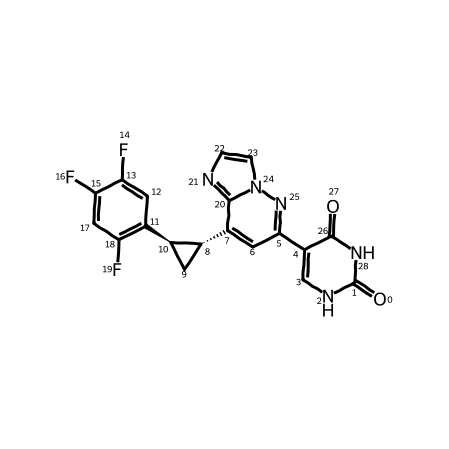 O=c1[nH]cc(-c2cc([C@@H]3C[C@H]3c3cc(F)c(F)cc3F)c3nccn3n2)c(=O)[nH]1